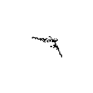 C=CCCCCOCC(O)COC(=O)C(=C)CC(C)(C)C(=O)OCC(O)COCCCCC=C